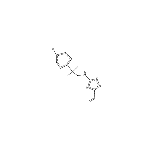 C=Cc1nsc(NCC(C)(C)c2ccc(F)cc2)n1